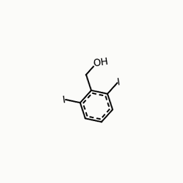 OCc1c(I)cccc1I